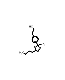 CCCCC1COC(C)(c2ccc(CCO)cc2)O1